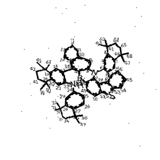 Cc1cc2c(cc1N1c3cc4ccccc4c(-c4cc5c(cc4Nc4ccc6c(c4)C(C)(C)CCC6(C)C)C(C)(C)CCC5(C)C)c3Bc3ccc4sc5ccccc5c4c31)C(C)(C)CCC2(C)C